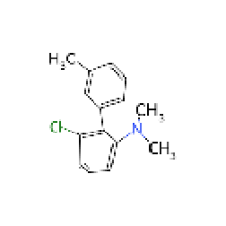 Cc1cccc(-c2c(Cl)[c]ccc2N(C)C)c1